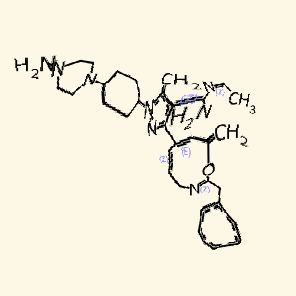 C=C1/C=C(c2nn(C3CCC(N4CCN(N)CC4)CC3)c(=C)/c2=C(N)\N=C/C)\C=C/C/N=C(/Cc2ccccc2)O1